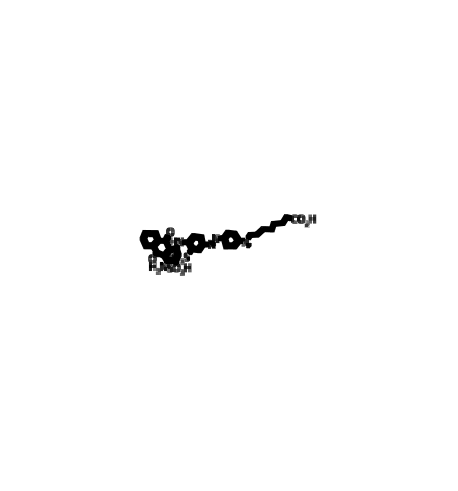 CN(CCCCCCCC(=O)O)c1ccc(/N=N/c2ccc(Nc3cc(S(=O)(=O)O)c(N)c4c3C(=O)c3ccccc3C4=O)c(S(=O)(=O)O)c2)cc1